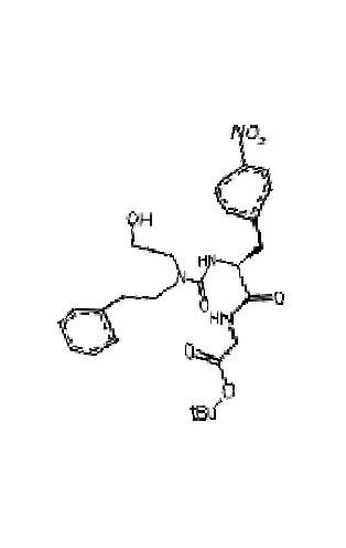 CC(C)(C)OC(=O)CNC(=O)[C@H](Cc1ccc([N+](=O)[O-])cc1)NC(=O)N(CCO)CCc1ccccc1